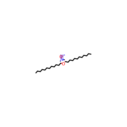 CCCCCCCCCCCCOCCCCCCCCCCCC.C[NH+](C)[O-]